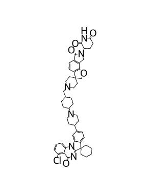 O=C1CC[C@H](N2Cc3c(ccc4c3OCC43CCN(CC4CCC(N5CCC(c6ccc7c(c6)-n6c(nc(=O)c8c(Cl)cccc86)C76CCCCC6)CC5)CC4)CC3)C2=O)C(=O)N1